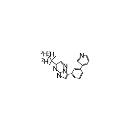 [2H]C([2H])([2H])C(C)(C)c1cnn2c(-c3cccc(-c4cccnc4)c3)cnc2n1